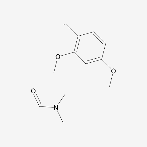 CN(C)C=O.[CH2]c1ccc(OC)cc1OC